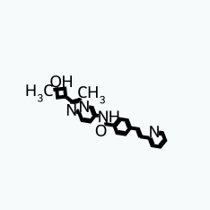 Cc1c(C2CC(C)(O)C2)nc2ccc(NC(=O)c3ccc(/C=C/c4ccccn4)cc3)cn12